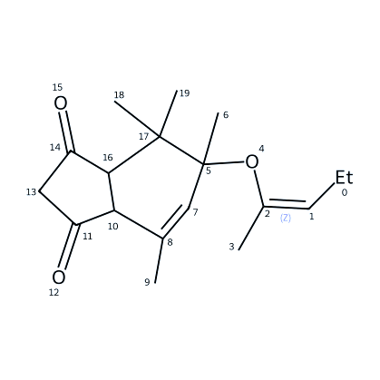 CC/C=C(/C)OC1(C)C=C(C)C2C(=O)CC(=O)C2C1(C)C